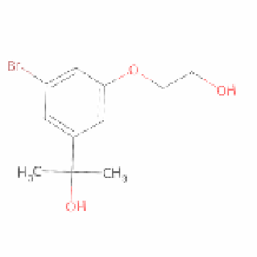 CC(C)(O)c1cc(Br)cc(OCCO)c1